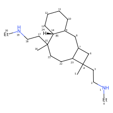 CCNCCC1(C)CC2CC3CCCC[C@H]3C(C)(CCNCC)CCC21